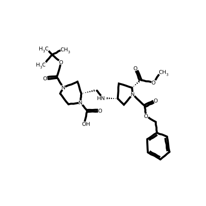 COC(=O)[C@H]1C[C@@H](NC[C@H]2CN(C(=O)OC(C)(C)C)CCN2C(=O)O)CN1C(=O)OCc1ccccc1